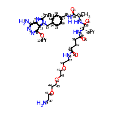 CCCCc1nc2c(N)nnc(OC(C)C)c2n1Cc1ccc(CNC(=O)[C@H](C)NC(=O)[C@@H](NC(=O)CCCC(=O)NCCOCCOCCOCCN)C(C)C)cc1